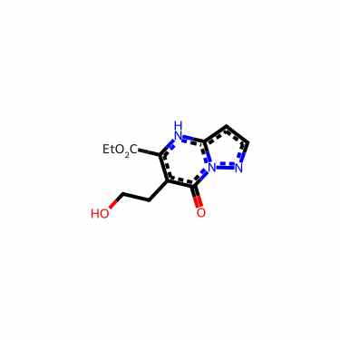 CCOC(=O)c1[nH]c2ccnn2c(=O)c1CCO